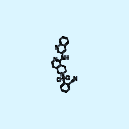 N#Cc1ccccc1S(=O)(=O)N1CCc2c(ccnc2Nc2cnc3ccccc3c2)C1